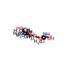 C=C(O)C(C)(NC)C(C)(C)C(C)C(C)(C(=O)OCCOCCOc1cc(N)c(CO)cc1OC)C(C)(C)C